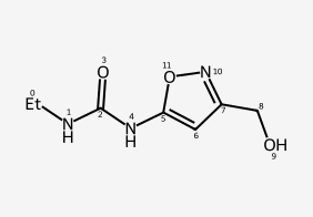 CCNC(=O)Nc1cc(CO)no1